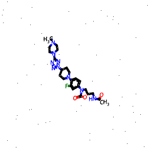 CC(=O)NCC1CN(c2ccc(N3CCC(n4nnc(N5CCN(C)CC5)n4)CC3)c(F)c2)C(=O)O1